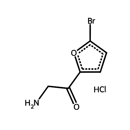 Cl.NCC(=O)c1ccc(Br)o1